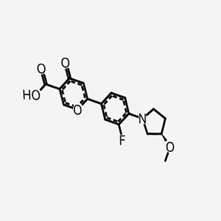 CO[C@@H]1CCN(c2ccc(-c3cc(=O)c(C(=O)O)co3)cc2F)C1